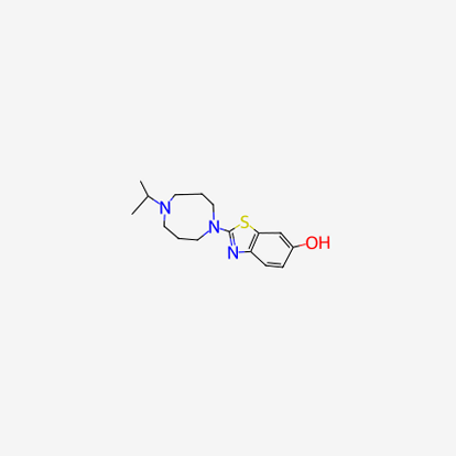 CC(C)N1CCCN(c2nc3ccc(O)cc3s2)CCC1